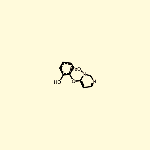 CON1CN=CC=C1Oc1ccccc1O